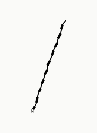 CC#CC#CC#CC#CC#CC#CC#CC#CC#CC#N